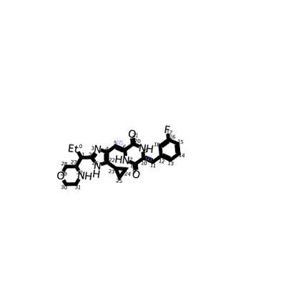 CCC(c1nc(/C=c2\[nH]c(=O)/c(=C/c3cccc(F)c3)[nH]c2=O)c(C2CC2)[nH]1)C1COCCN1